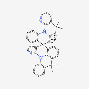 CC1(C)c2cccnc2N2c3ccccc3C3(c4cccnc4N4c5ccccc5C(C)(C)c5cccc3c54)c3cccc1c32